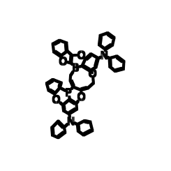 C1=C2/Oc3cc(N(c4ccccc4)c4ccccc4)cc4c3P(/C2=C/CB2c3oc5ccccc5c3Oc3cc(N(c5ccccc5)c5ccccc5)cc(c32)OC/1)c1ccccc1O4